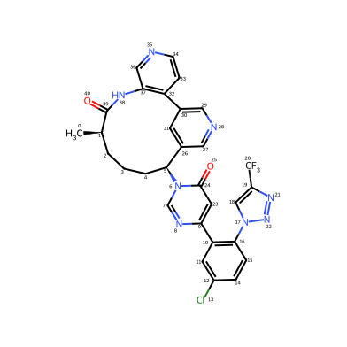 C[C@@H]1CCC[C@H](n2cnc(-c3cc(Cl)ccc3-n3cc(C(F)(F)F)nn3)cc2=O)c2cncc(c2)-c2ccncc2NC1=O